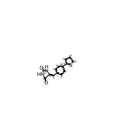 O=C1NC(=O)C(=Cc2ccc(-c3cccs3)cc2)N1